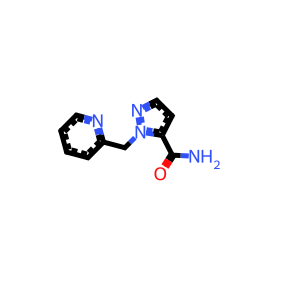 NC(=O)c1ccnn1Cc1ccccn1